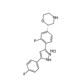 Cl.Fc1ccc(-c2cc(-c3ccc([C@H]4CNCCO4)cc3F)n[nH]2)cc1